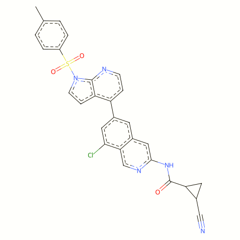 Cc1ccc(S(=O)(=O)n2ccc3c(-c4cc(Cl)c5cnc(NC(=O)C6CC6C#N)cc5c4)ccnc32)cc1